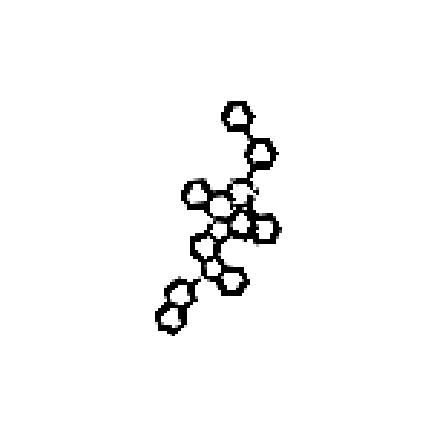 c1ccc(-c2cccc(-c3nc(-c4ccccc4)nc(-c4ccccc4-n4c5ccccc5c5c6c7ccccc7n(-c7ccc8ccccc8c7)c6ccc54)n3)c2)cc1